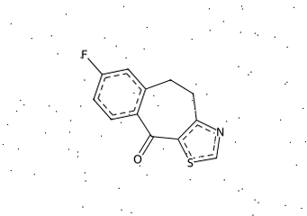 O=C1c2ccc(F)cc2CCc2ncsc21